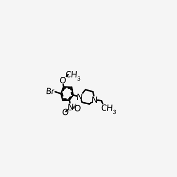 CCN1CCN(c2cc(OC)c(Br)cc2[N+](=O)[O-])CC1